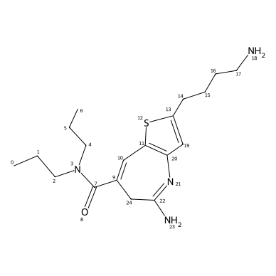 CCCN(CCC)C(=O)C1=Cc2sc(CCCCN)cc2N=C(N)C1